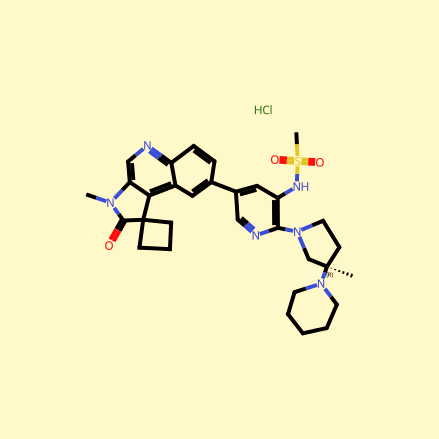 CN1C(=O)C2(CCC2)c2c1cnc1ccc(-c3cnc(N4CC[C@@](C)(N5CCCCC5)C4)c(NS(C)(=O)=O)c3)cc21.Cl